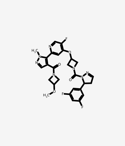 COC1CN(C(=O)c2cnn(C)c2-c2cc(OC3CN(C(=O)N4N=CCC4c4cc(F)cc(F)c4)C3)c(F)cn2)C1